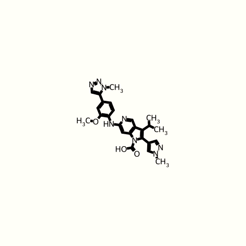 COc1cc(-c2cnnn2C)ccc1Nc1cc2c(cn1)c(C(C)C)c(-c1cnn(C)c1)n2C(=O)O